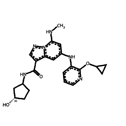 CNc1cc(Nc2cccnc2OC2CC2)cc2c(C(=O)NC3CC[C@H](O)C3)cnn12